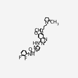 COc1cc2c(Nc3ccn(CC(=O)Nc4cccc(F)c4F)n3)ncnc2cc1OCCCN1CCC[C@H]1C